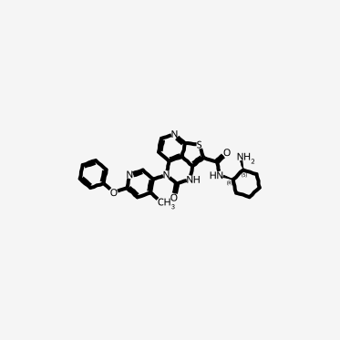 Cc1cc(Oc2ccccc2)ncc1N1C(=O)Nc2c(C(=O)N[C@@H]3CCCC[C@@H]3N)sc3nccc1c23